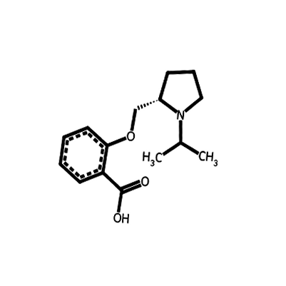 CC(C)N1CCC[C@H]1COc1ccccc1C(=O)O